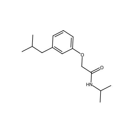 CC(C)Cc1cccc(OCC(=O)NC(C)C)c1